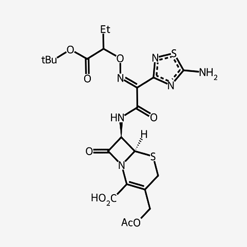 CCC(ON=C(C(=O)N[C@@H]1C(=O)N2C(C(=O)O)=C(COC(C)=O)CS[C@H]12)c1nsc(N)n1)C(=O)OC(C)(C)C